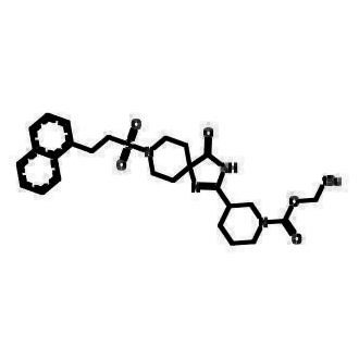 CC(C)(C)COC(=O)N1CCCC(C2=NC3(CCN(S(=O)(=O)CCc4cccc5ccccc45)CC3)C(=O)N2)C1